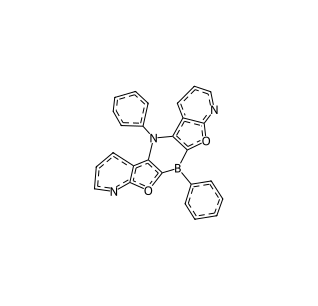 c1ccc(B2c3oc4ncccc4c3N(c3ccccc3)c3c2oc2ncccc32)cc1